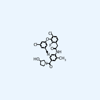 Cc1cc(C(=O)N2CCC(O)C2)ccc1NC(=O)Cc1ccc(Cl)c(Oc2cc(Cl)cc(C#N)c2)c1F